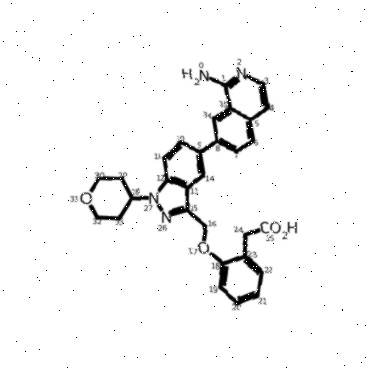 Nc1nccc2ccc(-c3ccc4c(c3)c(COc3ccccc3CC(=O)O)nn4C3CCOCC3)cc12